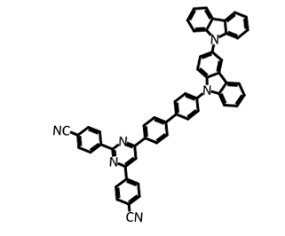 N#Cc1ccc(-c2cc(-c3ccc(-c4ccc(-n5c6ccccc6c6cc(-n7c8ccccc8c8ccccc87)ccc65)cc4)cc3)nc(-c3ccc(C#N)cc3)n2)cc1